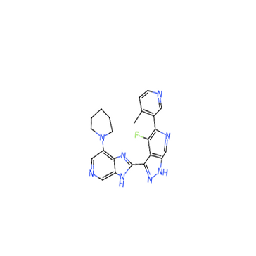 Cc1ccncc1-c1ncc2[nH]nc(-c3nc4c(N5CCCCC5)cncc4[nH]3)c2c1F